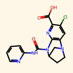 O=C(O)c1nc2c(cc1Cl)N1CCC(C1)N2C(=O)Nc1ccccn1